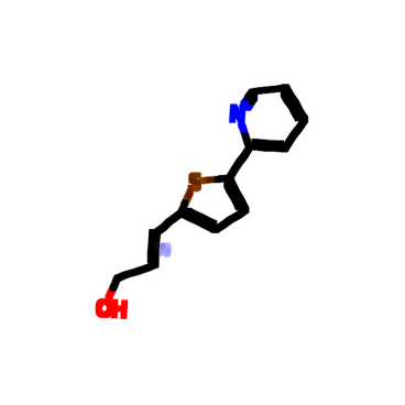 OC/C=C/c1ccc(-c2ccccn2)s1